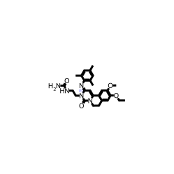 CCOc1cc2c(cc1OC)-c1c/c(=N\c3c(C)cc(C)cc3C)n(CCNC(N)=O)c(=O)n1CC2